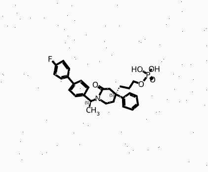 C[C@@H](c1ccc(-c2ccc(F)cc2)cc1)N1CC[C@](CCCOP(=O)(O)O)(c2ccccc2)CC1=O